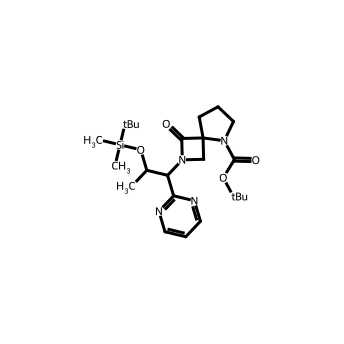 CC(O[Si](C)(C)C(C)(C)C)C(c1ncccn1)N1CC2(CCCN2C(=O)OC(C)(C)C)C1=O